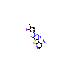 Cc1ccc(-n2cnc3c(sc4nccc(N(C)C)c43)c2=O)cc1I